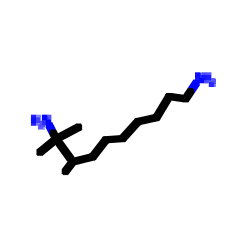 CC(CCCCCCCN)C(C)(C)N